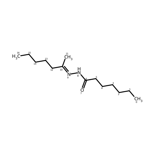 CCCCCCC(=O)N/N=C(\C)CCCCC